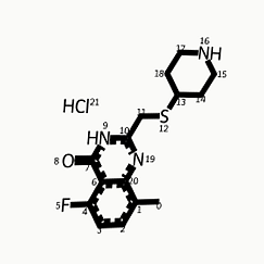 Cc1ccc(F)c2c(=O)[nH]c(CSC3CCNCC3)nc12.Cl